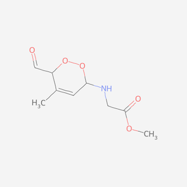 COC(=O)CNC1C=C(C)C(C=O)OO1